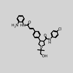 CC(C)(CO)N1CC(C(=O)Nc2ccc(Cl)cc2)C(c2ccc(/C=C/C(=O)Nc3ccccc3N)cc2)C1